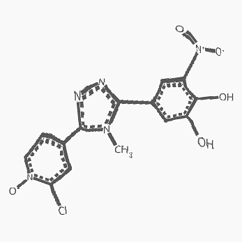 Cn1c(-c2cc(O)c(O)c([N+](=O)[O-])c2)nnc1-c1cc[n+]([O-])c(Cl)c1